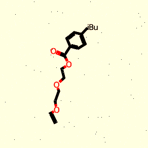 C=COCCOCCOC(=O)c1ccc(C(C)CC)cc1